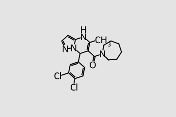 CC1=C(C(=O)N2CCCCCC2)C(c2ccc(Cl)c(Cl)c2)n2nccc2N1